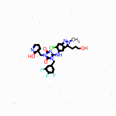 Cn1nc2cc(Cl)c(Nc3nc(=O)n(Cc4cccnc4O)c(=O)n3Cc3cc(F)c(F)c(F)c3)cc2c1CCCO